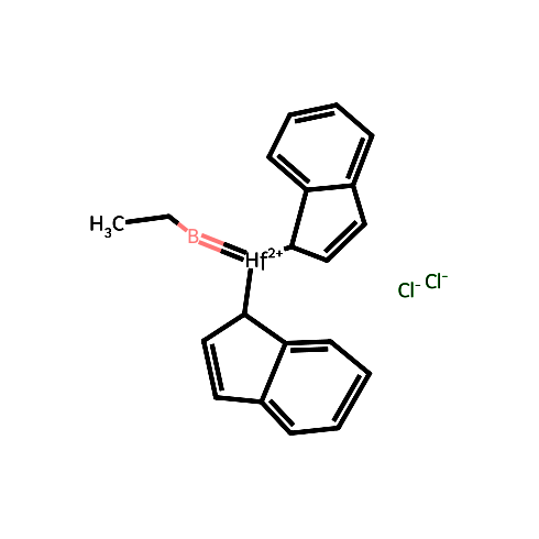 CC[B]=[Hf+2]([CH]1C=Cc2ccccc21)[CH]1C=Cc2ccccc21.[Cl-].[Cl-]